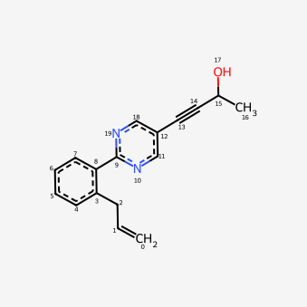 C=CCc1ccccc1-c1ncc(C#CC(C)O)cn1